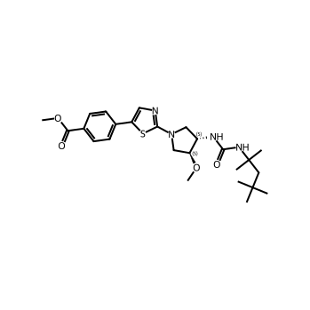 COC(=O)c1ccc(-c2cnc(N3C[C@H](NC(=O)NC(C)(C)CC(C)(C)C)[C@@H](OC)C3)s2)cc1